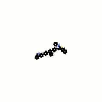 c1ccc2cc3c(cc2c1)sc1c3cc(-c2ccc(-c3ccc(-c4ccc(-c5ccc6c(c5)ncc5ccccc56)cc4)c4ccccc34)cc2)n2c3ccccc3nc12